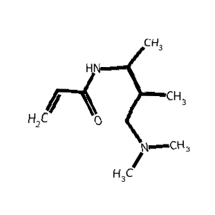 C=CC(=O)NC(C)C(C)CN(C)C